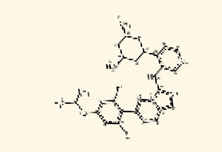 CC(C)Oc1cc(F)c(-c2ccc3cnc(Nc4cnccc4[C@@H]4C[C@H](C)C[C@H](N)C4)n3n2)c(F)c1